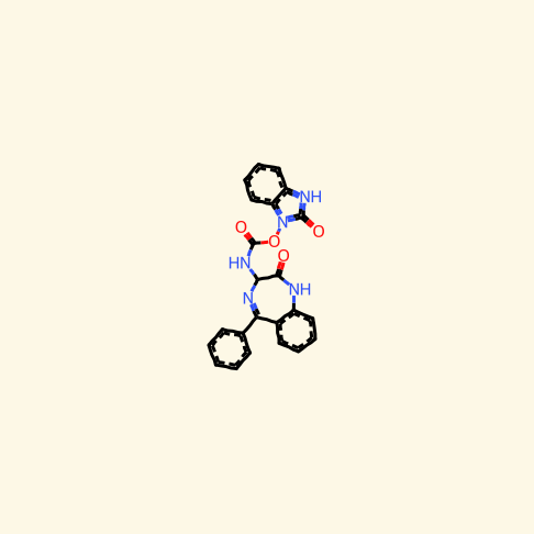 O=C(NC1N=C(c2ccccc2)c2ccccc2NC1=O)On1c(=O)[nH]c2ccccc21